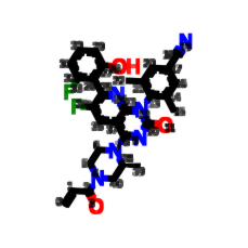 C=CC(=O)N1CCN(c2nc(=O)n(-c3c(C)cc(C#N)cc3C)c3nc(-c4c(O)cccc4F)c(F)cc23)[C@@H](C)C1